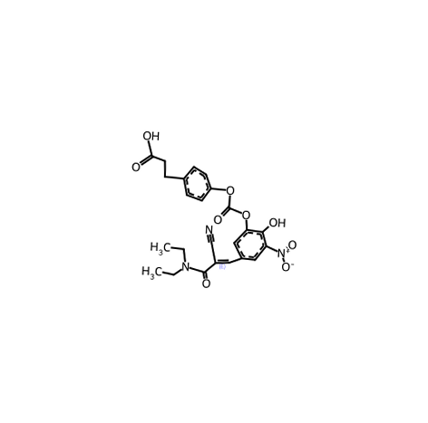 CCN(CC)C(=O)/C(C#N)=C/c1cc(OC(=O)Oc2ccc(CCC(=O)O)cc2)c(O)c([N+](=O)[O-])c1